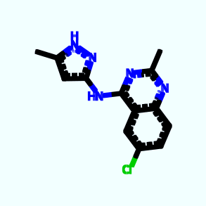 Cc1nc(Nc2cc(C)[nH]n2)c2cc(Cl)ccc2n1